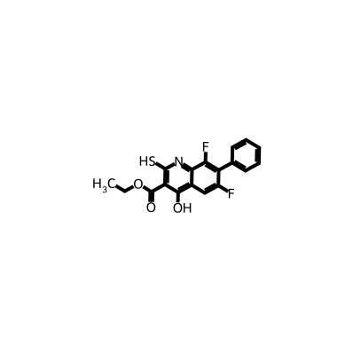 CCOC(=O)c1c(S)nc2c(F)c(-c3ccccc3)c(F)cc2c1O